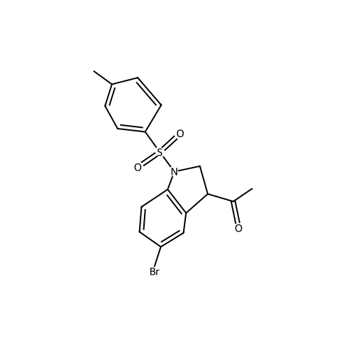 CC(=O)C1CN(S(=O)(=O)c2ccc(C)cc2)c2ccc(Br)cc21